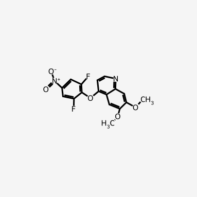 COc1cc2nccc(Oc3c(F)cc([N+](=O)[O-])cc3F)c2cc1OC